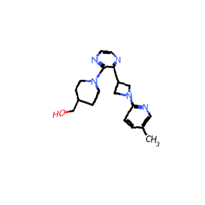 Cc1ccc(N2CC(c3nccnc3N3CCC(CO)CC3)C2)nc1